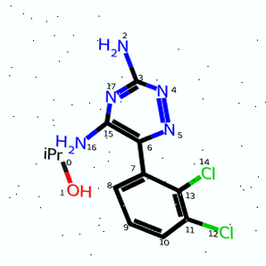 CC(C)O.Nc1nnc(-c2cccc(Cl)c2Cl)c(N)n1